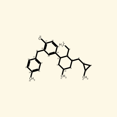 CCC1C(CC2CC2C)CC(C)CC1c1ccc(Cl)c(Cc2ccc(C)cc2)c1